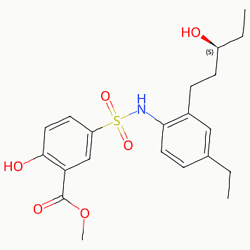 CCc1ccc(NS(=O)(=O)c2ccc(O)c(C(=O)OC)c2)c(CC[C@@H](O)CC)c1